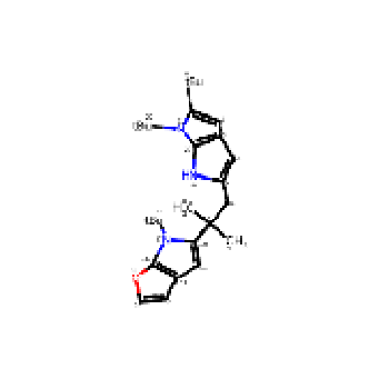 CC(C)(C)c1cc2cc(CC(C)(C)c3cc4ccoc4n3C(C)(C)C)[nH]c2n1C(C)(C)C